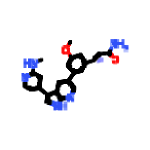 CNc1cc(-c2c[nH]c3ncc(-c4cc(/C=C/C(N)=O)cc(OC)c4)cc23)ccn1